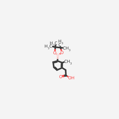 Cc1c(CC(=O)O)cccc1B1OC(C)(C)C(C)(C)O1